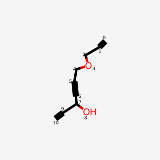 C#CCOCC#CC(O)C#C